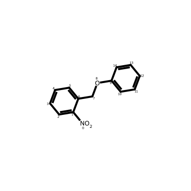 O=[N+]([O-])c1ccccc1COc1cc[c]cc1